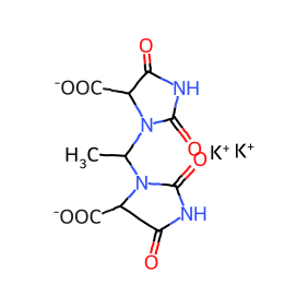 CC(N1C(=O)NC(=O)C1C(=O)[O-])N1C(=O)NC(=O)C1C(=O)[O-].[K+].[K+]